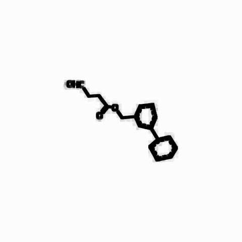 O=[C]CCC(=O)OCc1cccc(-c2ccccc2)c1